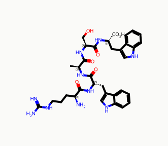 C[C@H](NC(=O)[C@H](Cc1c[nH]c2ccccc12)NC(=O)[C@@H](N)CCCNC(=N)N)C(=O)N[C@@H](CO)C(=O)N[C@@H](Cc1c[nH]c2ccccc12)C(=O)O